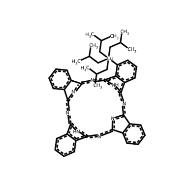 CC(C)[CH2][Cu]([CH2]C(C)C)([CH2]C(C)C)([CH2]C(C)C)[c]1cccc2c3nc4nc(nc5[nH]c(nc6nc(nc([nH]3)c12)-c1ccccc1-6)c1ccccc51)-c1ccccc1-4